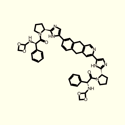 O=C([C@H](NC1OCO1)c1ccccc1)N1CCC[C@H]1c1ncc(-c2ccc3c(c2)Cc2cnc(-c4cnc([C@@H]5CCCN5C(=O)[C@H](NC5OCO5)c5ccccc5)[nH]4)cc2C3)[nH]1